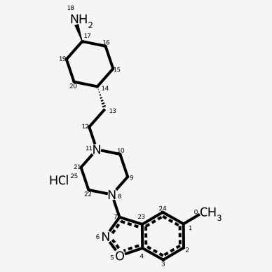 Cc1ccc2onc(N3CCN(CC[C@H]4CC[C@H](N)CC4)CC3)c2c1.Cl